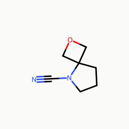 N#CN1CCCC12COC2